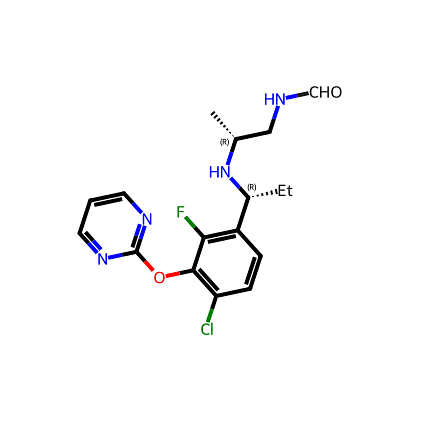 CC[C@@H](N[C@H](C)CNC=O)c1ccc(Cl)c(Oc2ncccn2)c1F